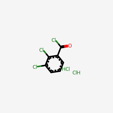 Cl.Cl.O=C(Cl)c1cccc(Cl)c1Cl